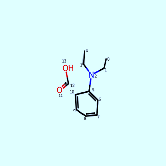 CCN(CC)c1ccccc1.O=CO